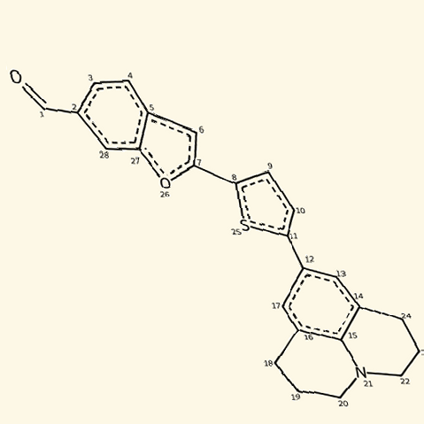 O=Cc1ccc2cc(-c3ccc(-c4cc5c6c(c4)CCCN6CCC5)s3)oc2c1